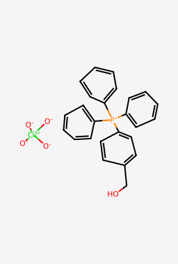 OCc1ccc([P+](c2ccccc2)(c2ccccc2)c2ccccc2)cc1.[O-][Cl+3]([O-])([O-])[O-]